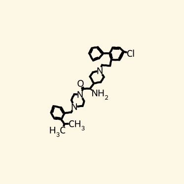 CC(C)c1ccccc1CN1CCN(C(=O)[C@H](N)C2CCN(CCc3cc(Cl)ccc3-c3ccccc3)CC2)CC1